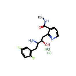 CC(C)(C)NC(=O)c1cccnc1CC(O)C(N)Cc1cc(F)ccc1F.Cl.Cl